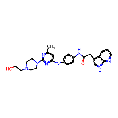 Cc1cc(Nc2ccc(NC(=O)Cc3c[nH]c4ncccc34)cc2)nc(N2CCN(CCO)CC2)n1